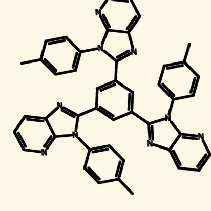 Cc1ccc(-n2c(-c3cc(-c4nc5cccnc5n4-c4ccc(C)cc4)cc(-c4nc5cccnc5n4-c4ccc(C)cc4)c3)nc3cccnc32)cc1